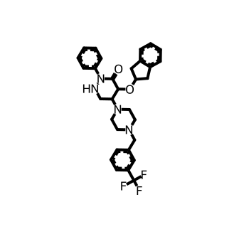 O=C1C(OC2Cc3ccccc3C2)C(N2CCN(Cc3cccc(C(F)(F)F)c3)CC2)CNN1c1ccccc1